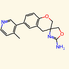 Cc1ccncc1-c1ccc2c(c1)CC1(COC(N)=N1)CO2